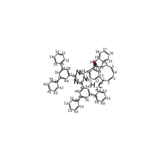 C=C1/C=C\C=C/CC2(c3ccccc31)c1ccccc1-c1ccc(-c3nc(-c4cc(-c5ccccc5)cc(-c5ccccc5)c4)nc(-c4cc(-c5ccccc5)cc(-c5ccccc5)c4)n3)cc12